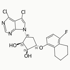 O[C@@H]1[C@H](O)[C@@H](Oc2ccc(F)c3c2CCCC3)C[C@H]1n1cc(Cl)c2c(Cl)ncnc21